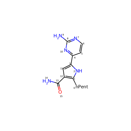 CCCCCc1[nH]c(-c2ccnc(N)n2)cc1C(N)=O